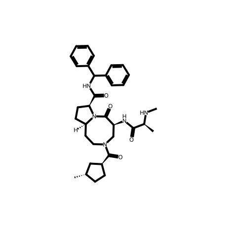 CN[C@@H](C)C(=O)N[C@H]1CN(C(=O)[C@H]2CC[C@H](C)C2)CC[C@H]2CC[C@@H](C(=O)NC(c3ccccc3)c3ccccc3)N2C1=O